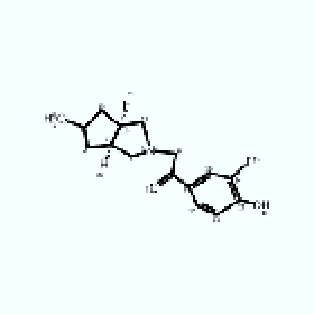 CC1C[C@@H]2CN(CC(=O)c3ccc(O)c(F)c3)C[C@@H]2C1